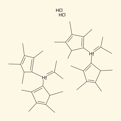 CC1=C(C)C(C)[C]([Hf]([C]2=C(C)C(C)=C(C)C2C)=[C](C)C)=C1C.CC1=C(C)C(C)[C]([Hf]([C]2=C(C)C(C)=C(C)C2C)=[C](C)C)=C1C.Cl.Cl